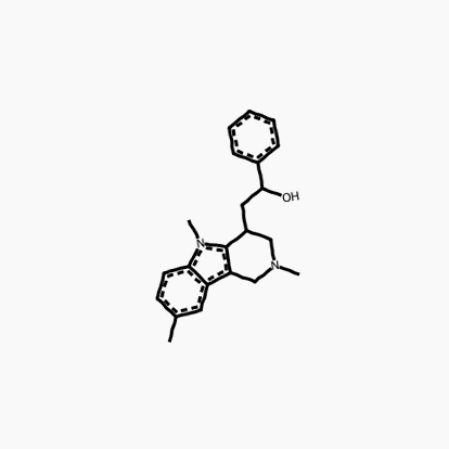 Cc1ccc2c(c1)c1c(n2C)C(CC(O)c2ccccc2)CN(C)C1